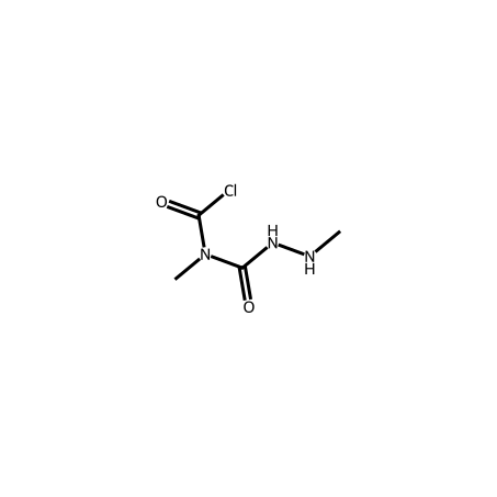 CNNC(=O)N(C)C(=O)Cl